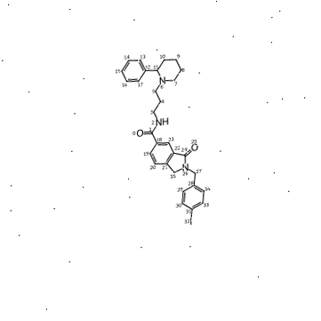 O=C(NCCCN1CCCCC1c1ccccc1)c1ccc2c(c1)C(=O)N(Cc1ccc(I)cc1)C2